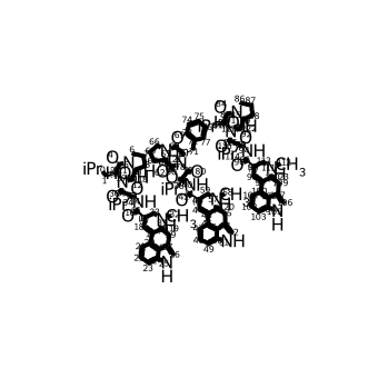 CC(C)C[C@H]1C(=O)N2CCC[C@H]2[C@]2(O)O[C@](NC(=O)[C@@H]3C=C4c5cccc6[nH]cc(c56)C[C@H]4N(C)C3)(C(C)C)C(=O)N12.CC(C)[C@@]1(NC(=O)[C@@H]2C=C3c4cccc5[nH]cc(c45)C[C@H]3N(C)C2)O[C@@]2(O)[C@@H]3CCCN3C(=O)[C@H](Cc3ccccc3)N2C1=O.CC(C)[C@H]1C(=O)N2CCC[C@H]2[C@]2(O)O[C@](NC(=O)[C@@H]3C=C4c5cccc6[nH]cc(c56)C[C@H]4N(C)C3)(C(C)C)C(=O)N12